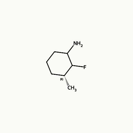 C[C@@H]1CCCC(N)C1F